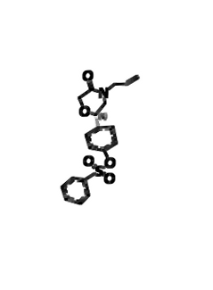 C=CCN1C[C@H](c2ccc(OS(=O)(=O)c3ccccc3)cc2)OCC1=O